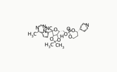 Cc1ncnn2c([C@]3(C#N)O[C@H](CO[P@@]4(=O)OCC[C@@H](c5ccncc5)O4)[C@H]4OC(C)(C)OC43)ccc12